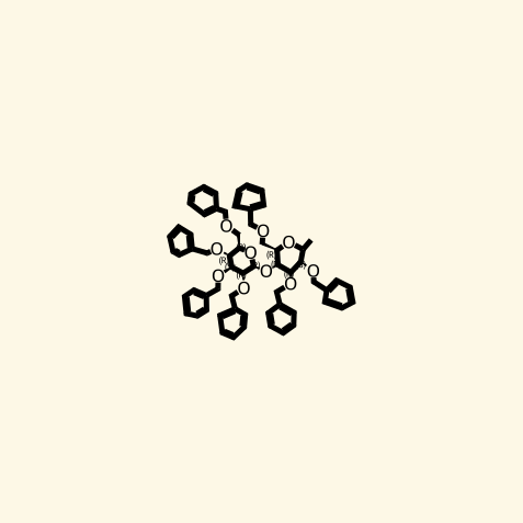 CC1O[C@H](COCc2ccccc2)[C@@H](O[C@H]2O[C@H](COCc3ccccc3)[C@@H](OCc3ccccc3)[C@H](OCc3ccccc3)[C@H]2OCc2ccccc2)[C@H](OCc2ccccc2)[C@H]1OCc1ccccc1